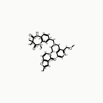 COCc1ncccc1CN(CCn1ccc2oc(C)cc2c1=O)Cc1ccc2c(c1)N(C)C(=O)C(C)(C)C(=O)N2